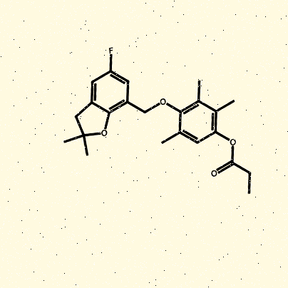 CCC(=O)Oc1cc(C)c(OCc2cc(F)cc3c2OC(C)(C)C3)c(C)c1C